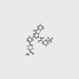 O=C(Nc1cc(Nc2cnccn2)nc(-c2ccnc(N3CCN(C(=O)O)CC3)c2)c1)c1cccc(C(F)(F)F)c1